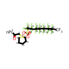 CCCC(=O)CS1(OS(=O)(=O)C(F)(F)C(F)(F)C(F)(F)C(F)(F)C(F)(F)C(F)(F)C(F)(F)C(F)(F)F)CCCCC1